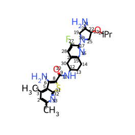 Cc1cc(C)c2c(N)c(C(=O)NC3CCc4nc(N5CC(N)C(OC(C)C)C5)c(F)cc4C3)sc2n1